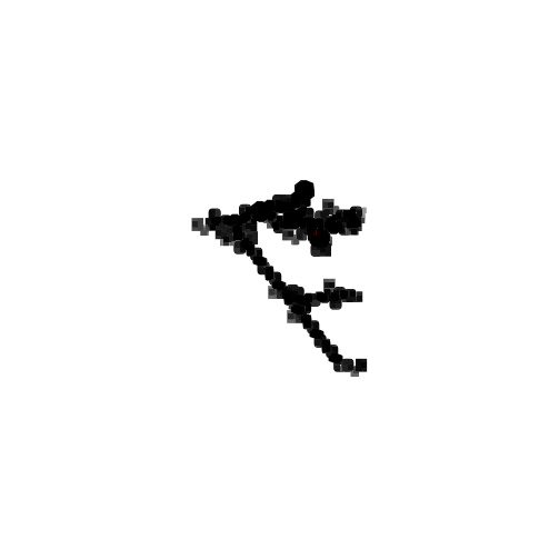 CNCc1cc(NC(=O)[C@H](CCCNC(N)=O)NC(=O)[C@@H](NC(=O)CCOCCOCCOCCNC(=O)CN(CC(=O)NCCOCCOCCOCCC(=O)O)C(=O)CCOCCNC(=O)OC(C)(C)C)C(C)C)ccc1C[N+](C)(C)CCC[C@@H]1Cc2ccccc2CN1C(=O)c1ccc(Cl)cc1-c1cc(C(=O)N(c2ccc(O)cc2)c2cc(C#N)n(C)c2C)c(C)n1C.O=C([O-])C(F)(F)F